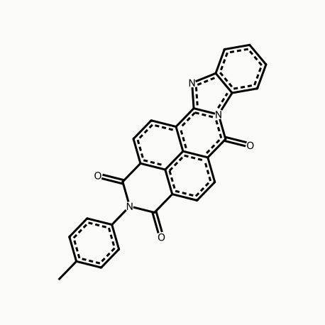 Cc1ccc(N2C(=O)c3ccc4c(=O)n5c6ccccc6nc5c5ccc(c3c45)C2=O)cc1